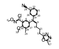 CO/N=C(\Cl)c1cc(/C(=C\CCCc2nnc(C)o2)c2cccc(C#N)c2)cc(C)c1OC